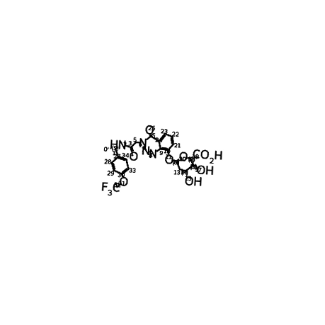 C[C@H](NC(=O)Cn1nnc2c(O[C@H]3C[C@@H](O)[C@H](O)[C@@H](C(=O)O)O3)cccc2c1=O)c1ccc(OC(F)(F)F)cc1